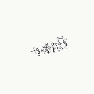 CC(C)(C)OC(=O)N1C[C@@H]2[C@H](C1)[C@H]2C(=O)NC(C)(C)c1ccnc2ccccc12